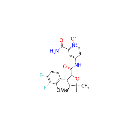 COc1c([C@@H]2[C@H](C(=O)Nc3cc[n+]([O-])c(C(N)=O)c3)O[C@](C)(C(F)(F)F)[C@H]2C)ccc(F)c1F